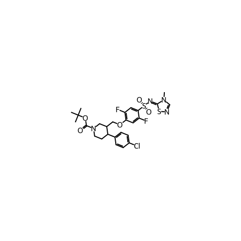 Cn1cns/c1=N\S(=O)(=O)c1cc(F)c(OCC2CN(C(=O)OC(C)(C)C)CCC2c2ccc(Cl)cc2)cc1F